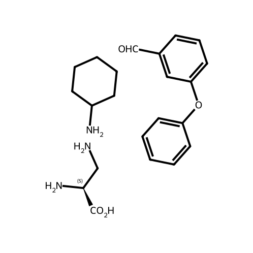 NC1CCCCC1.NC[C@H](N)C(=O)O.O=Cc1cccc(Oc2ccccc2)c1